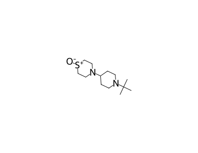 CC(C)(C)N1CCC(N2CC[S+]([O-])CC2)CC1